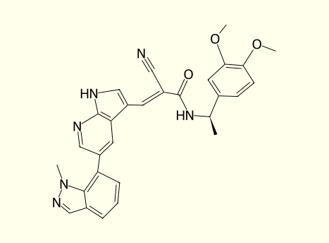 COc1ccc([C@@H](C)NC(=O)/C(C#N)=C/c2c[nH]c3ncc(-c4cccc5cnn(C)c45)cc23)cc1OC